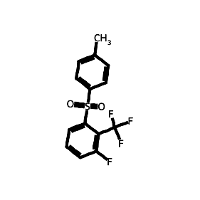 Cc1ccc(S(=O)(=O)c2cccc(F)c2C(F)(F)F)cc1